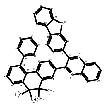 CC1(C)c2cc(-c3nc4ccccc4nc3-c3ccc4c(c3)oc3ccccc34)ccc2-c2c(-c3ccccc3)cccc2C1(C)C